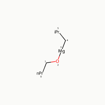 CCCC[O][Mg][CH2]C(C)C